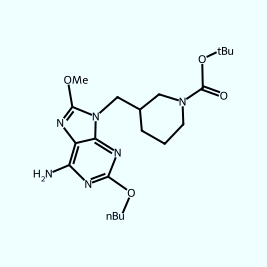 CCCCOc1nc(N)c2nc(OC)n(CC3CCCN(C(=O)OC(C)(C)C)C3)c2n1